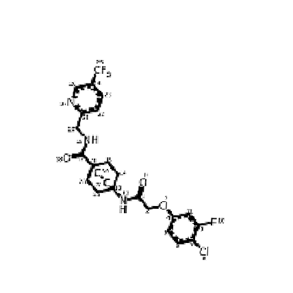 O=C(COc1ccc(Cl)c(F)c1)NC12CCC(C(=O)NCc3ccc(C(F)(F)F)cn3)(CC1)CC2